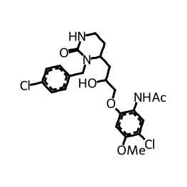 COc1cc(OCC(O)CC2CCNC(=O)N2Cc2ccc(Cl)cc2)c(NC(C)=O)cc1Cl